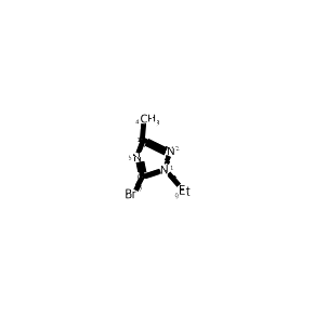 CCn1nc(C)nc1Br